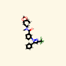 CN(C(=O)c1cccc(-n2nc(C(F)(F)F)cc2-c2ccccc2)c1)c1ccc2c(c1)OCO2